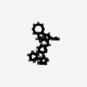 CCCCc1cn(C2CCCCCCC2C(C)C)c(=O)n1Cc1ccc(-c2ccccc2-c2nnn[nH]2)cn1